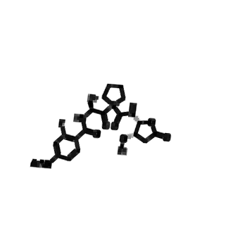 CCO[C@H]1CC(=O)O[C@H]1NC(=O)[N+]1(C(=O)[C@@H](NC(=O)c2ccc(NC(C)=O)cc2F)C(C)C)CCCC1